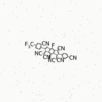 N#CC(C#N)=C1C(c2ccc(C#N)cc2)=C(C#N)c2c(F)c3c(c(F)c21)C(=C(C#N)C#N)C(c1ccc(C(F)(F)F)cc1)=C3C#N